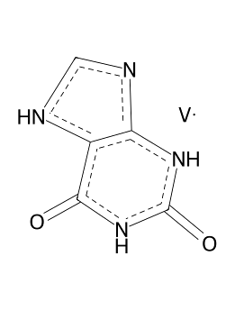 O=c1[nH]c(=O)c2[nH]cnc2[nH]1.[V]